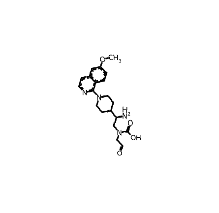 COc1ccc2c(N3CCC(C(N)CN(CC=O)C(=O)O)CC3)nccc2c1